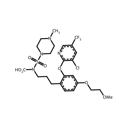 COCCOc1ccc(CCCN(C(=O)O)S(=O)(=O)N2CCN(C)CC2)c(Oc2ncc(C(F)(F)F)cc2Cl)c1